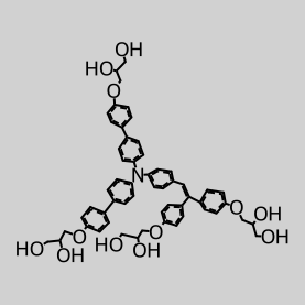 OCC(O)COc1ccc(C(=Cc2ccc(N(c3ccc(-c4ccc(OCC(O)CO)cc4)cc3)c3ccc(-c4ccc(OCC(O)CO)cc4)cc3)cc2)c2ccc(OCC(O)CO)cc2)cc1